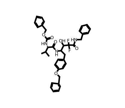 CC(C)[C@H](NC(=O)OCc1ccccc1)C(=O)NC(Cc1ccc(OCc2ccccc2)cc1)C(O)C(F)(F)C(=O)NCc1ccccc1